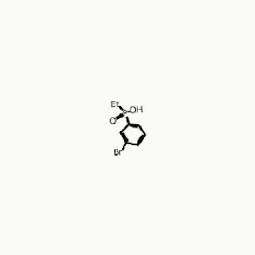 CCP(=O)(O)c1cccc(Br)c1